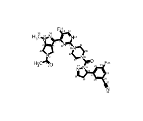 CC(=O)N1Cc2c(-c3nc(N4CCN(C(=O)N5N=CCC5c5cc(F)cc(C#N)c5)CC4)ncc3F)nn(C)c2C1